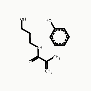 C=C(C)C(=O)NCCCO.Oc1ccccc1